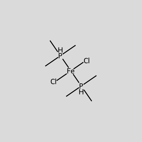 C[PH](C)(C)[Fe]([Cl])([Cl])[PH](C)(C)C